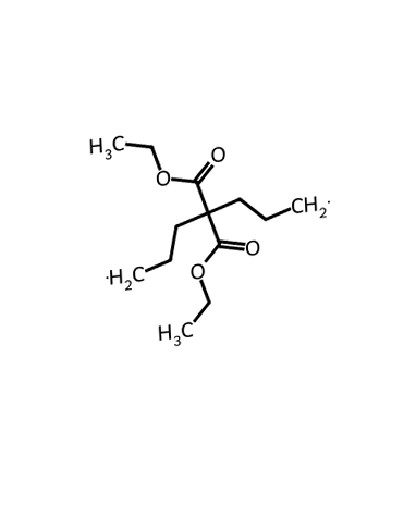 [CH2]CCC(CC[CH2])(C(=O)OCC)C(=O)OCC